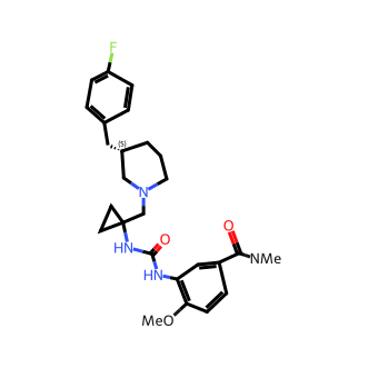 CNC(=O)c1ccc(OC)c(NC(=O)NC2(CN3CCC[C@@H](Cc4ccc(F)cc4)C3)CC2)c1